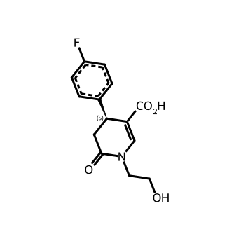 O=C(O)C1=CN(CCO)C(=O)C[C@H]1c1ccc(F)cc1